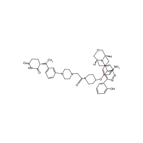 CN(c1cccc(N2CCN(CC(=O)N3CCC(Oc4cccc(N5[C@@H]6COC[C@H]5CN(c5cc(-c7ccccc7O)nnc5N)C6)c4)CC3)CC2)c1)[C@@H]1CCC(=O)NC1=O